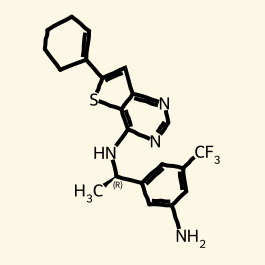 C[C@@H](Nc1ncnc2cc(C3=CCCCC3)sc12)c1cc(N)cc(C(F)(F)F)c1